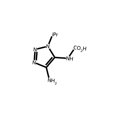 CC(C)n1nnc(N)c1NC(=O)O